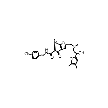 Cc1cc(C(O)CN(C)Cc2cc3c(=O)c(C(=O)NCc4ccc(Cl)cc4)cn(C)c3o2)oc1C